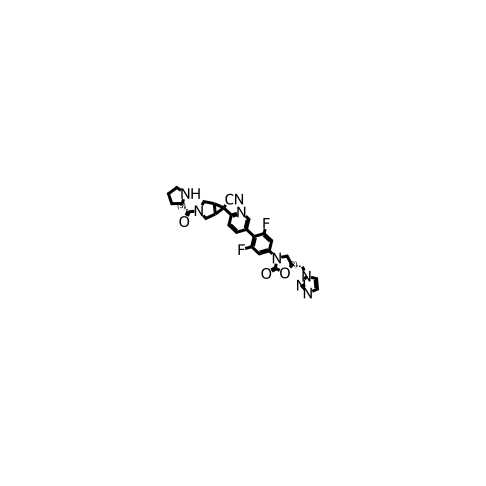 N#CC1(c2ccc(-c3c(F)cc(N4C[C@H](Cn5ccnn5)OC4=O)cc3F)cn2)C2CN(C(=O)[C@@H]3CCCN3)CC21